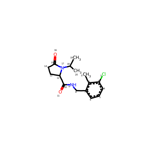 Cc1c(Cl)cccc1CNC(=O)C1CCC(=O)N1C(C)C